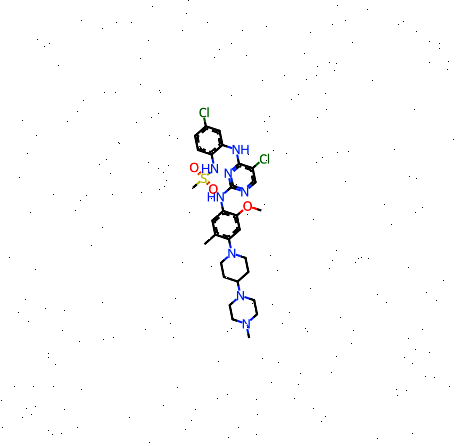 COc1cc(N2CCC(N3CCN(C)CC3)CC2)c(C)cc1Nc1ncc(Cl)c(Nc2cc(Cl)ccc2NS(C)(=O)=O)n1